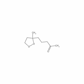 CC(=O)CCCC1(C)CCOO1